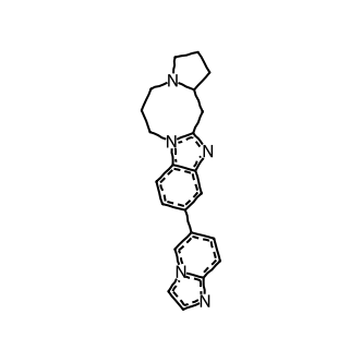 c1cn2cc(-c3ccc4c(c3)nc3n4CCCN4CCCC4C3)ccc2n1